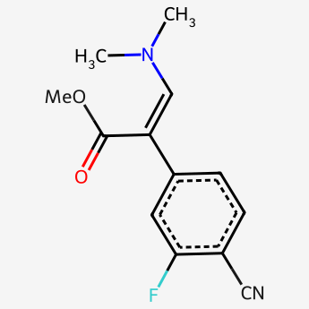 COC(=O)C(=CN(C)C)c1ccc(C#N)c(F)c1